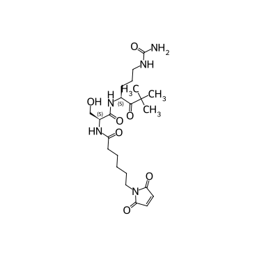 CC(C)(C)C(=O)[C@H](CCCNC(N)=O)NC(=O)[C@H](CO)NC(=O)CCCCCN1C(=O)C=CC1=O